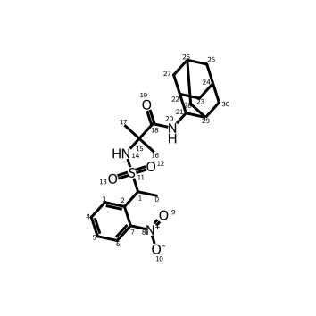 CC(c1ccccc1[N+](=O)[O-])S(=O)(=O)NC(C)(C)C(=O)NC1C2CC3CC(C2)CC1C3